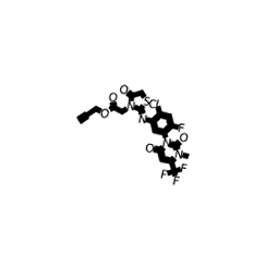 C#CCOC(=O)CN1C(=O)CSC1=Nc1cc(-n2c(=O)cc(C(F)(F)F)n(C)c2=O)c(F)cc1Cl